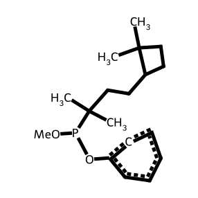 COP(Oc1ccccc1)C(C)(C)CCC1CCC1(C)C